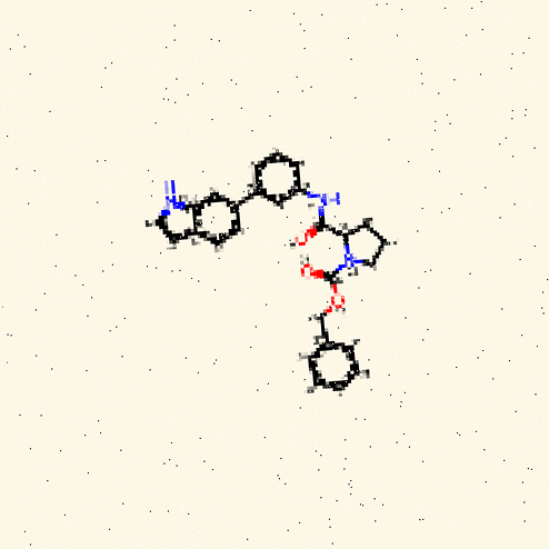 O=C(Nc1cccc(-c2ccc3cc[nH]c3c2)c1)C1CCCN1C(=O)OCc1ccccc1